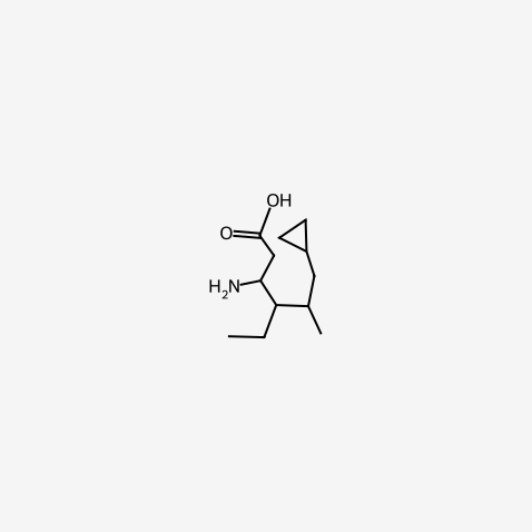 CCC(C(C)CC1CC1)C(N)CC(=O)O